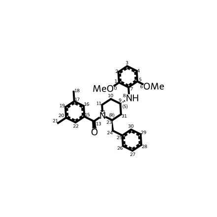 COc1cccc(OC)c1N[C@H]1CCN(C(=O)c2cc(C)cc(C)c2)[C@H](Cc2ccccc2)C1